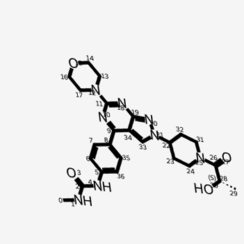 CNC(=O)Nc1ccc(-c2nc(N3CCOCC3)nc3nn(C4CCN(C(=O)[C@H](C)O)CC4)cc23)cc1